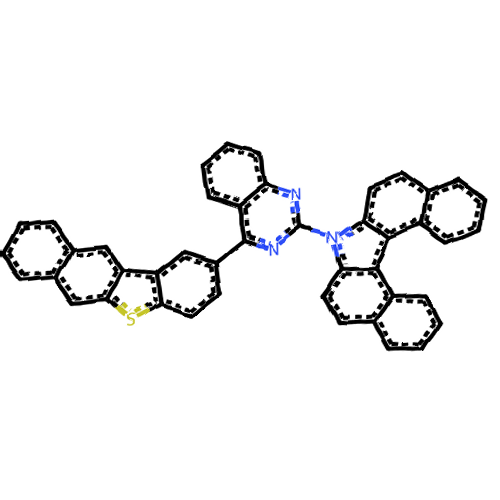 c1ccc2cc3c(cc2c1)sc1ccc(-c2nc(-n4c5ccc6ccccc6c5c5c6ccccc6ccc54)nc4ccccc24)cc13